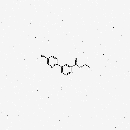 CCOC(=O)c1cccc(-c2ccc(O)cn2)c1